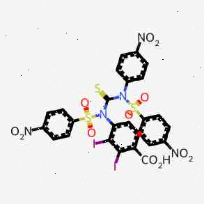 O=C(O)c1ccc(N(C(=S)N(c2ccc([N+](=O)[O-])cc2)S(=O)(=O)c2ccc([N+](=O)[O-])cc2)S(=O)(=O)c2ccc([N+](=O)[O-])cc2)c(I)c1I